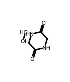 O=C1CNC(=O)CN1.OO